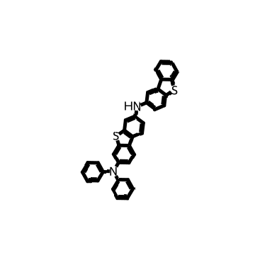 c1ccc(N(c2ccccc2)c2ccc3c(c2)sc2cc(Nc4ccc5sc6ccccc6c5c4)ccc23)cc1